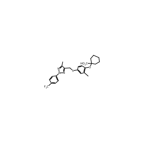 Cc1cc(SCc2nn(-c3ccc(C(F)(F)F)cc3)nc2C)ccc1OC1(C(=O)O)CCCCC1